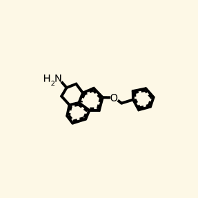 NC1Cc2cccc3cc(OCc4ccccc4)cc(c23)C1